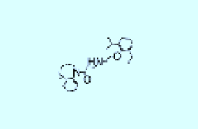 CC(C)c1cccc(C(C)C)c1OCCNCCC(=O)N1CCCSc2ccccc21